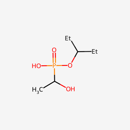 CCC(CC)OP(=O)(O)C(C)O